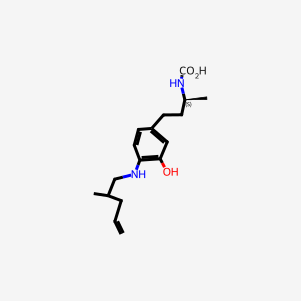 C=CCC(C)CNc1ccc(CC[C@H](C)NC(=O)O)cc1O